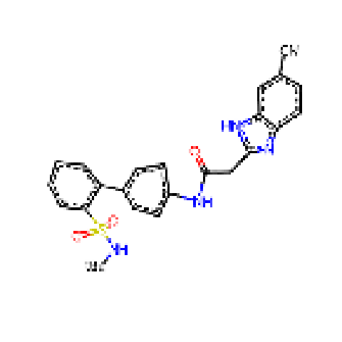 CC(C)(C)NS(=O)(=O)c1ccccc1-c1ccc(NC(=O)Cc2nc3ccc(C#N)cc3[nH]2)cc1